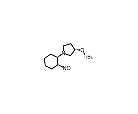 CCCCO[C@@H]1CCN([C@@H]2CCCC[C@@H]2N=O)C1